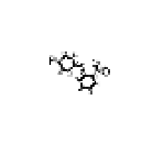 O=[N+]([O-])c1ccccc1Sc1ccc(F)cc1